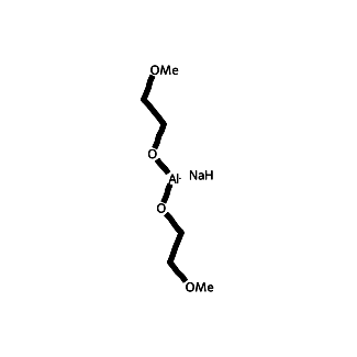 COCC[O][Al][O]CCOC.[NaH]